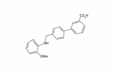 COc1ccccc1NCc1ccc(-c2cccc(C(=O)O)c2)cc1